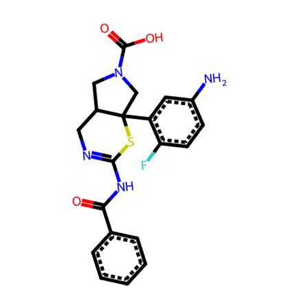 Nc1ccc(F)c(C23CN(C(=O)O)CC2CN=C(NC(=O)c2ccccc2)S3)c1